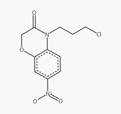 O=C1COc2cc([N+](=O)[O-])ccc2N1CCCCl